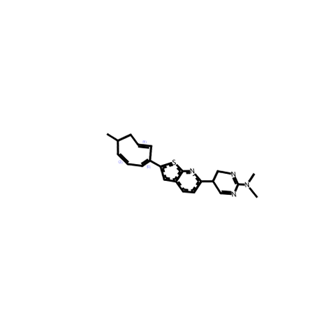 CC1\C=C/C=C(c2cc3ccc(C4C=NC(N(C)C)=NC4)nc3s2)\C=C\C1